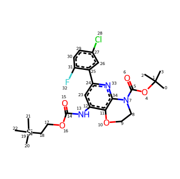 CC(C)(C)OC(=O)N1CCOc2c(NC(=O)OCC[Si](C)(C)C)cc(-c3cc(Cl)ccc3F)nc21